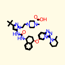 CC1CCCCN1c1nnc2ccc(O[C@@H]3CC[C@H](NC(=O)Nc4cc(C(C)(C)C)nn4CCN4CCN(C)CC4)c4ccccc43)cn12.O=CO